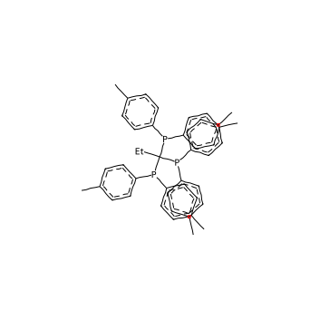 CCC(P(c1ccc(C)cc1)c1ccc(C)cc1)(P(c1ccc(C)cc1)c1ccc(C)cc1)P(c1ccc(C)cc1)c1ccc(C)cc1